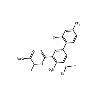 CCOCC.COC(=O)C(C)OC(=O)c1cc(-c2ccc(C(F)(F)F)cc2Cl)ccc1[N+](=O)[O-]